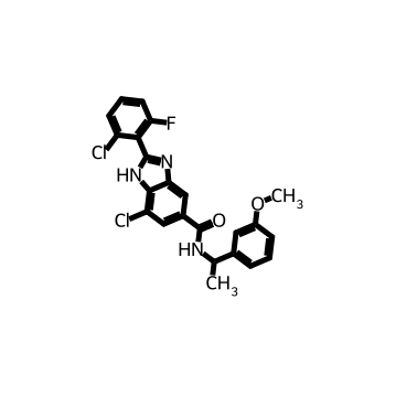 COc1cccc(C(C)NC(=O)c2cc(Cl)c3[nH]c(-c4c(F)cccc4Cl)nc3c2)c1